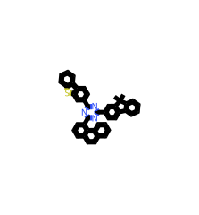 CC1(C)c2ccccc2-c2ccc(-c3nc(-c4ccc5c(c4)sc4ccccc45)nc(-c4cccc5ccc6ccccc6c45)n3)cc21